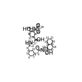 CC(C)(Cc1cccc(CC(=O)NCc2c(O)ccc3ccccc23)c1)NC[C@H](O)c1ccc(O)c(NS(C)(=O)=O)c1